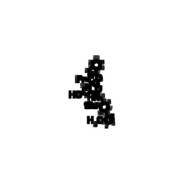 Cc1ccsc1-c1ccc(CNC(=O)C2CC(O)CN2C(=O)C(C(C)C)N2Cc3ccccc3C2=O)c(C(C)(C)C)c1